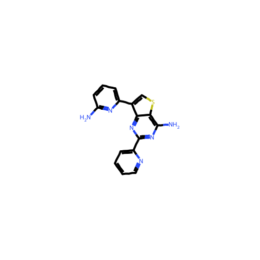 Nc1cccc(-c2csc3c(N)nc(-c4ccccn4)nc23)n1